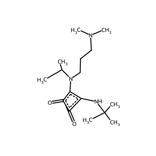 CC(C)N(CCCN(C)C)c1c(NC(C)(C)C)c(=O)c1=O